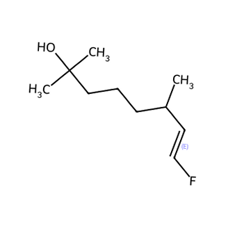 CC(/C=C/F)CCCC(C)(C)O